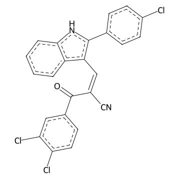 N#C/C(=C/c1c(-c2ccc(Cl)cc2)[nH]c2ccccc12)C(=O)c1ccc(Cl)c(Cl)c1